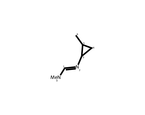 CN/C=N/C1CC1C